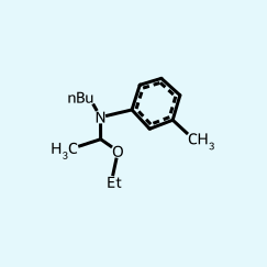 CCCCN(c1cccc(C)c1)C(C)OCC